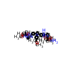 COCC(C)(C)c1ccc(N2[C@@H](c3ccc4[nH]c([C@@H]5CCCN5C(=O)[C@@H](NC(=O)OC)C(C)C)nc4c3)CC[C@@H]2c2ccc3nc([C@@H]4CCCN4C(=O)[C@@](C)(OC(N)=O)C(C)C)[nH]c3c2)cc1